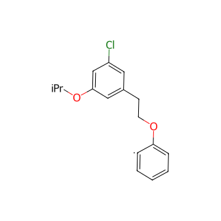 CC(C)Oc1cc(Cl)cc(CCOc2[c]cccc2)c1